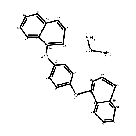 [SiH3]O[SiH3].c1ccc2c(Oc3ccc(Oc4cccc5ccccc45)cc3)cccc2c1